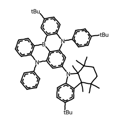 CC(C)(C)c1ccc(N2c3ccc(C(C)(C)C)cc3B3c4ccccc4N(c4ccccc4)c4cc(N5c6ccc(C(C)(C)C)cc6C6(C)C(C)(C)CCC(C)(C)C56C)cc2c43)cc1